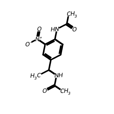 CC(=O)Nc1ccc(C(C)NC(C)=O)cc1[N+](=O)[O-]